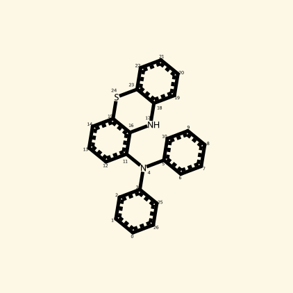 c1ccc(N(c2ccccc2)c2cccc3c2Nc2ccccc2S3)cc1